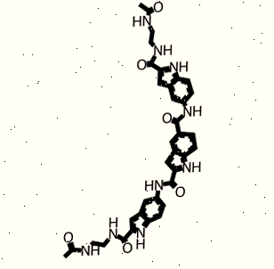 CC(=O)NCCNC(=O)c1cc2cc(NC(=O)c3ccc4[nH]c(C(=O)Nc5ccc6[nH]c(C(=O)NCCNC(C)=O)cc6c5)cc4c3)ccc2[nH]1